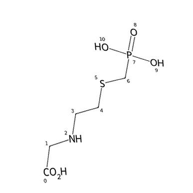 O=C(O)CNCCSCP(=O)(O)O